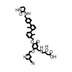 Cc1c(COc2cc(OCc3cncc(C#N)c3)c(CNC[C@@H](O)CC(=O)O)cc2Cl)cccc1-c1cccc(-c2ccc(CN[C@H]3CCCNC3=O)cc2)c1C